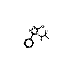 CC(=O)Nn1c(S)nnc1-c1ccccc1